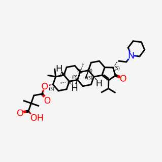 CC(C)C1=C2C(CC[C@]3(C)[C@@H]2CC[C@@H]2[C@@]4(C)CC[C@H](OC(=O)CC(C)(C)C(=O)O)C(C)(C)[C@@H]4CC[C@]23C)[C@H](CCN2CCCCC2)C1=O